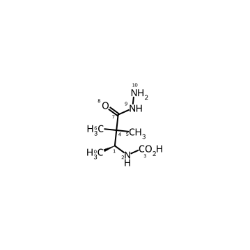 C[C@H](NC(=O)O)C(C)(C)C(=O)NN